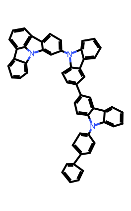 c1ccc(-c2ccc(-n3c4ccccc4c4cc(-c5ccc6c(c5)c5ccccc5n6-c5ccc6c7cccc8c9ccccc9n(c6c5)c87)ccc43)cc2)cc1